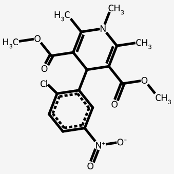 COC(=O)C1=C(C)N(C)C(C)=C(C(=O)OC)C1c1cc([N+](=O)[O-])ccc1Cl